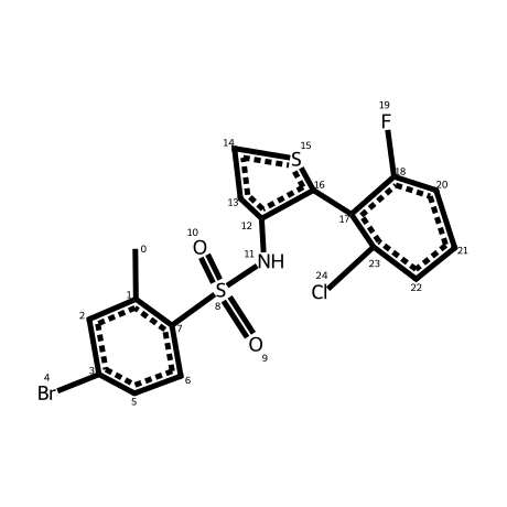 Cc1cc(Br)ccc1S(=O)(=O)Nc1ccsc1-c1c(F)cccc1Cl